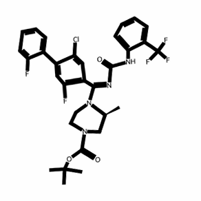 C[C@H]1CN(C(=O)OC(C)(C)C)CCN1C(=NC(=O)Nc1ccccc1C(F)(F)F)c1cc(Cl)c(-c2ccccc2F)cc1F